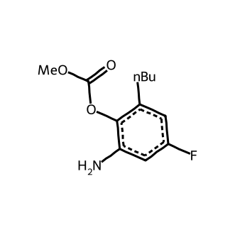 CCCCc1cc(F)cc(N)c1OC(=O)OC